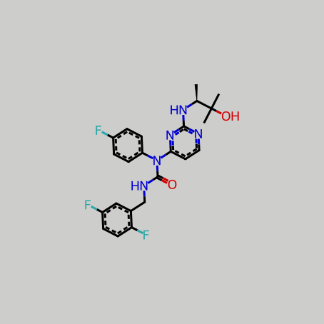 C[C@H](Nc1nccc(N(C(=O)NCc2cc(F)ccc2F)c2ccc(F)cc2)n1)C(C)(C)O